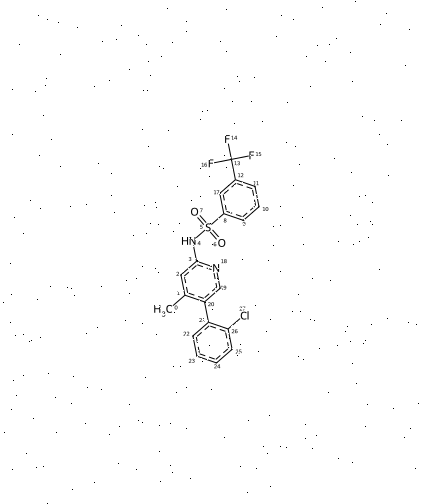 Cc1cc(NS(=O)(=O)c2cccc(C(F)(F)F)c2)ncc1-c1ccccc1Cl